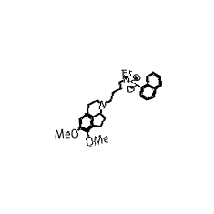 CCN(CCCCN1CCc2cc(OC)c(OC)c3c2C1CC3)S(=O)(=O)c1cccc2ccccc12